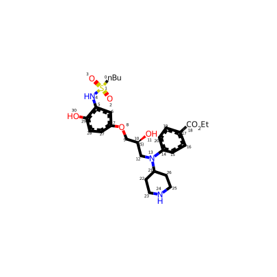 CCCCS(=O)(=O)Nc1cc(OC[C@@H](O)CN(c2ccc(C(=O)OCC)cc2)C2CCNCC2)ccc1O